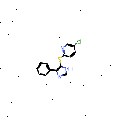 Clc1ccc(Sc2[nH]cnc2-c2ccccc2)nc1